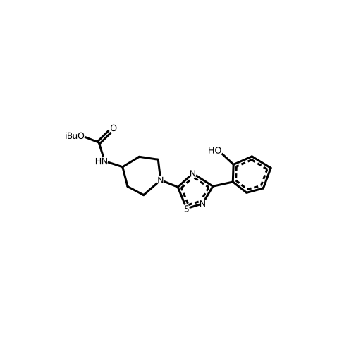 CC(C)COC(=O)NC1CCN(c2nc(-c3ccccc3O)ns2)CC1